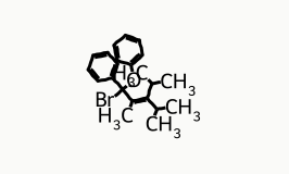 CC(=C(C(C)C)C(C)C)C(Br)(Oc1ccccc1)c1ccccc1